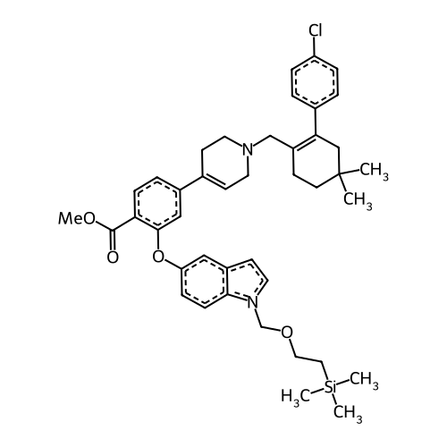 COC(=O)c1ccc(C2=CCN(CC3=C(c4ccc(Cl)cc4)CC(C)(C)CC3)CC2)cc1Oc1ccc2c(ccn2COCC[Si](C)(C)C)c1